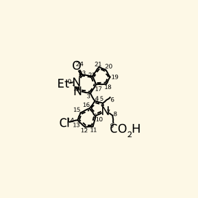 CCn1nc(-c2c(C)n(CC(=O)O)c3ccc(Cl)cc23)c2ccccc2c1=O